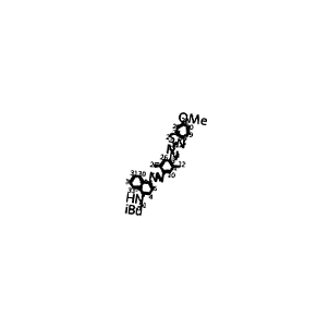 CCC(C)CNc1ccc(N=Nc2cc(C)c(N=Nc3nc4ccc(OC)cc4s3)cc2C)c2ccccc12